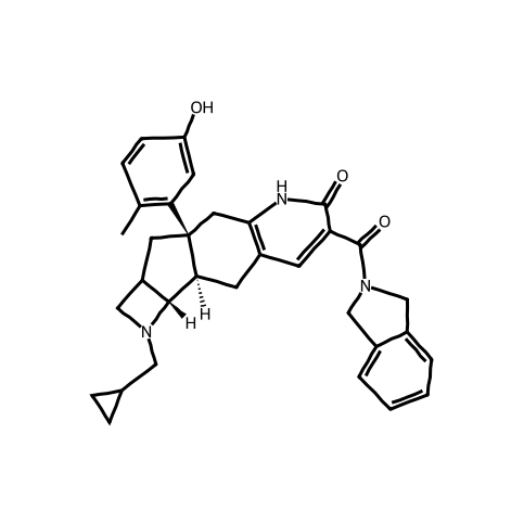 Cc1ccc(O)cc1[C@@]12Cc3[nH]c(=O)c(C(=O)N4Cc5ccccc5C4)cc3C[C@H]1[C@H]1C(CN1CC1CC1)C2